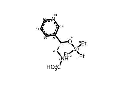 CC[Si](CC)(CC)O[C@H](CNC(=O)O)c1cccnc1